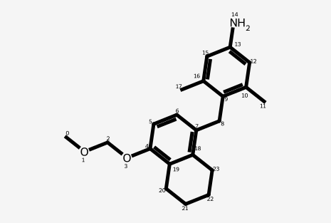 COCOc1ccc(Cc2c(C)cc(N)cc2C)c2c1CCCC2